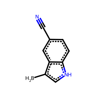 Bc1c[nH]c2ccc(C#N)cc12